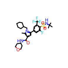 Cc1c(C(=O)NC2CCOCC2)cc(-c2cc(F)c(S(=O)(=O)NC(C)(C)C)c(C(F)(F)F)c2)n1CC1CCCCC1